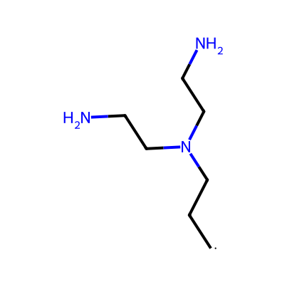 [CH2]CCN(CCN)CCN